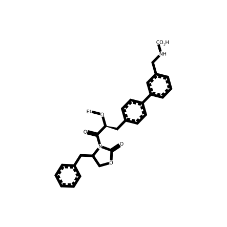 CCO[C@@H](Cc1ccc(-c2cccc(CNC(=O)O)c2)cc1)C(=O)N1C(=O)OCC1Cc1ccccc1